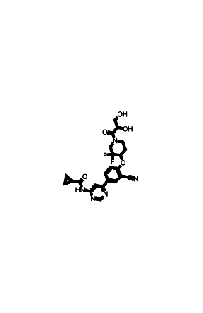 N#Cc1cc(-c2cc(NC(=O)C3CC3)ncn2)ccc1OC1CCN(C(=O)C(O)CO)CC1(F)F